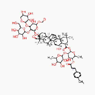 Cc1ccc(/C=C/C(=O)OC2C(C)OC(OC(=O)[C@@H]3CC(C)(C)C[C@@H]4C3[C@H](O)C[C@]3(C)C4C=C[C@@H]4[C@@]5(C)CC[C@H](OC6OC(OC=O)C(O)C(OC7OCC(O)C(O)C7O)C6OC6OC(CO)C(O)C(O)C6O)[C@@](C)(C=O)[C@@H]5CC[C@]43C)C(OC3OC(C)C(O)C(O)C3O)C2O)cc1